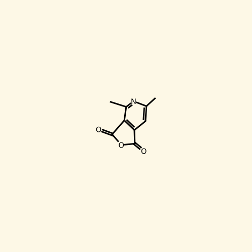 Cc1cc2c(c(C)n1)C(=O)OC2=O